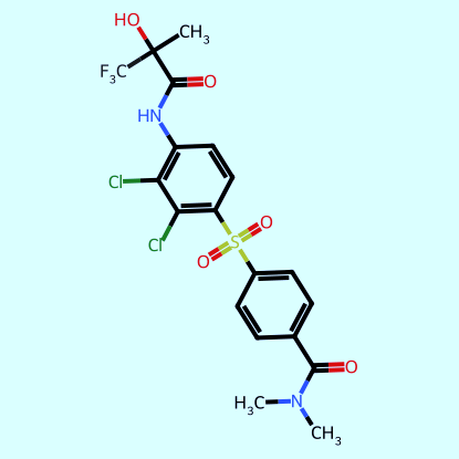 CN(C)C(=O)c1ccc(S(=O)(=O)c2ccc(NC(=O)C(C)(O)C(F)(F)F)c(Cl)c2Cl)cc1